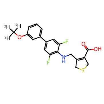 [2H]C([2H])([2H])Oc1cccc(-c2cc(F)c(NCC3=C(C(=O)O)CSC3)c(F)c2)c1